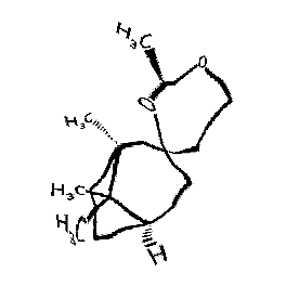 C[C@H]1OCC[C@]2(C[C@H]3CC[C@]2(C)C3(C)C)O1